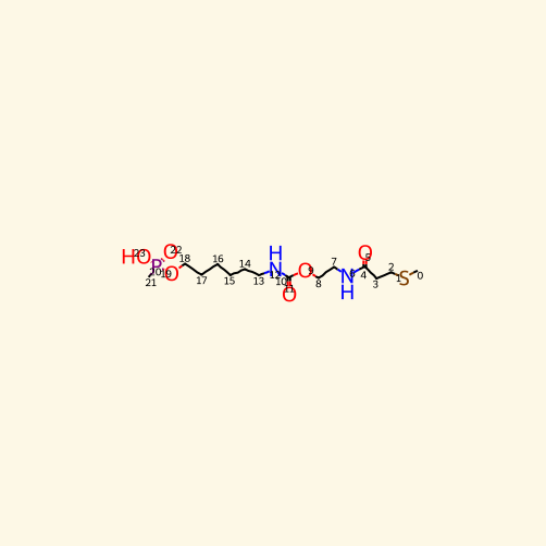 CSCCC(=O)NCCOC(=O)NCCCCCCOP(C)(=O)O